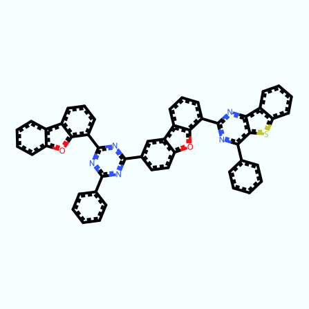 c1ccc(-c2nc(-c3ccc4oc5c(-c6nc(-c7ccccc7)c7sc8ccccc8c7n6)cccc5c4c3)nc(-c3cccc4c3oc3ccccc34)n2)cc1